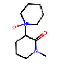 CN1CCCC([N+]2([O-])C[CH]CCC2)C1=O